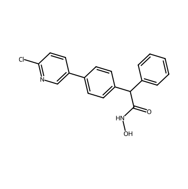 O=C(NO)C(c1ccccc1)c1ccc(-c2ccc(Cl)nc2)cc1